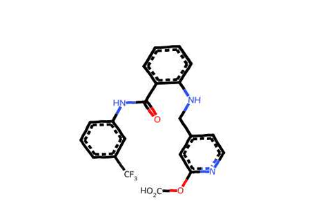 O=C(O)Oc1cc(CNc2ccccc2C(=O)Nc2cccc(C(F)(F)F)c2)ccn1